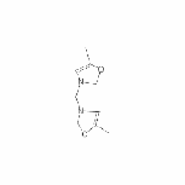 CC1=CN(CN2C=C(C)OC2)CO1